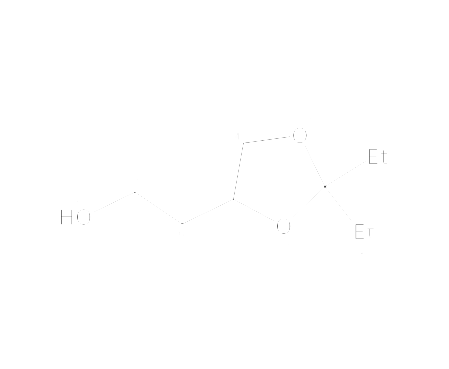 CCC1(CC)OCC(CCO)O1